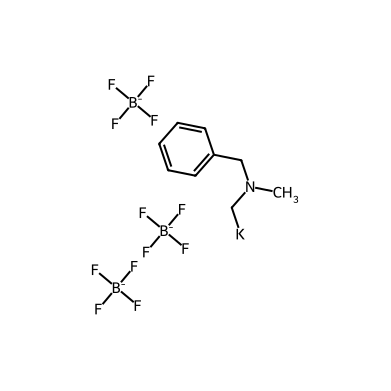 CN([CH2][K])Cc1ccccc1.F[B-](F)(F)F.F[B-](F)(F)F.F[B-](F)(F)F